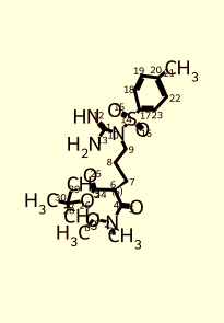 CON(C)C(=O)[C@H](CCCN(C(=N)N)S(=O)(=O)c1ccc(C)cc1)C(=O)OC(C)(C)C